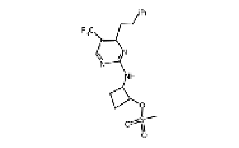 CC(C)CCc1nc(NC2CCC2OS(C)(=O)=O)ncc1C(F)(F)F